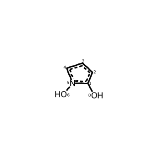 Oc1cccn1O